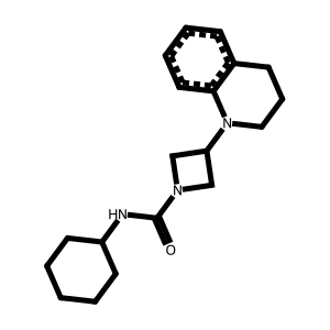 O=C(NC1CCCCC1)N1CC(N2CCCc3ccccc32)C1